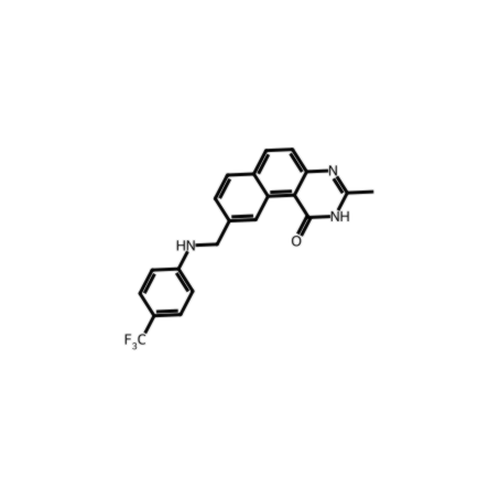 Cc1nc2ccc3ccc(CNc4ccc(C(F)(F)F)cc4)cc3c2c(=O)[nH]1